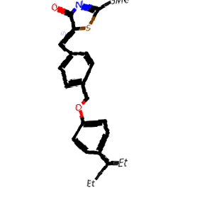 CCC(CC)c1ccc(OCc2ccc(/C=C3\SC(SC)=NC3=O)cc2)cc1